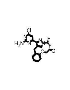 Nc1nc(Cl)cc(-c2nn(C(F)F)cc2Cc2ccccc2OCC=O)n1